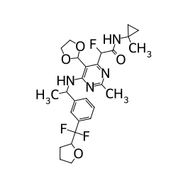 Cc1nc(NC(C)c2cccc(C(F)(F)C3CCCO3)c2)c(C2OCCO2)c(C(F)C(=O)NC2(C)CC2)n1